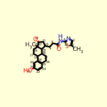 Cc1cnc(NC(=O)CCC2CC(=O)C3(C)CCC4c5cc(O)ccc5CCC4C23)s1